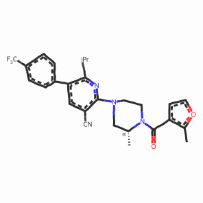 Cc1occc1C(=O)N1CCN(c2nc(C(C)C)c(-c3ccc(C(F)(F)F)cc3)cc2C#N)C[C@H]1C